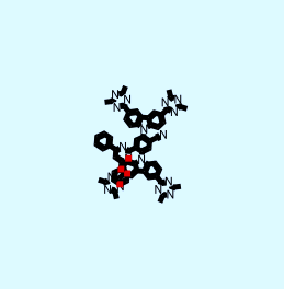 Cc1nc(C)nc(-c2ccc3c(c2)c2cc(-c4nc(C)nc(C)n4)ccc2n3-c2cc(-c3nc(-c4ccccc4)cc(-c4ccccc4)n3)c(-n3c4ccc(-c5nc(C)nc(C)n5)cc4c4cc(-c5nc(C)nc(C)n5)ccc43)cc2C#N)n1